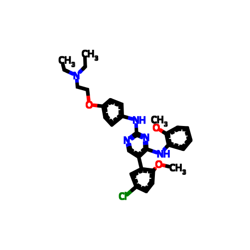 CCN(CC)CCOc1ccc(Nc2ncc(-c3cc(Cl)ccc3OC)c(Nc3ccccc3OC)n2)cc1